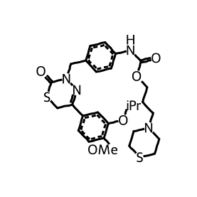 COc1ccc(C2=NN(Cc3ccc(NC(=O)OCCCN4CCSCC4)cc3)C(=O)SC2)cc1OC(C)C